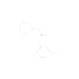 CC(=O)c1cccc(OC(=O)N(C)C2CCCCC2)c1